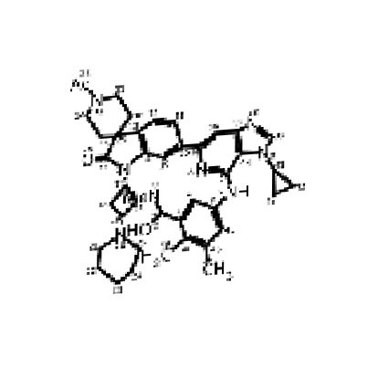 CNC(O)c1cc(Nc2nc(-c3ccc4c(c3)N([C@H]3C[C@@H](N5CCCCC5)C3)C(=O)C43CCN(C(C)=O)CC3)cc3ncn(C4CC4)c23)cc(C)c1C